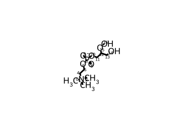 C[N+](C)(C)CCOP(=O)([O-])OCC(CO)OO